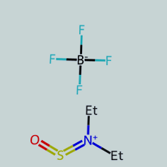 CC[N+](CC)=S=O.F[B-](F)(F)F